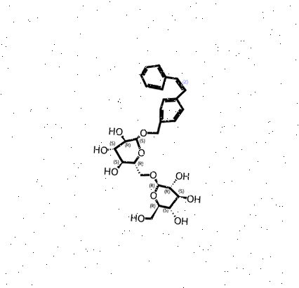 OC[C@H]1O[C@@H](OC[C@H]2O[C@H](OCc3ccc(/C=C\c4ccccc4)cc3)[C@H](O)[C@@H](O)[C@@H]2O)[C@H](O)[C@@H](O)[C@@H]1O